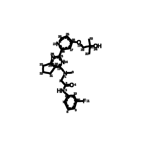 CN(CC(=O)Nc1cccc(F)c1)c1nc(-c2cc(OCC(C)(C)O)ccn2)nc2c1CCC2